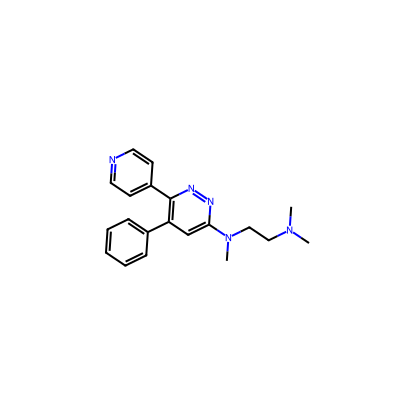 CN(C)CCN(C)c1cc(-c2ccccc2)c(-c2ccncc2)nn1